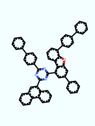 c1ccc(-c2ccc(-c3nc(-c4cc5ccccc5c5ccccc45)nc(-c4cc(-c5ccccc5)cc5oc6c(-c7ccc(-c8ccccc8)cc7)cccc6c45)n3)cc2)cc1